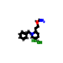 Cl.Cl.NOCCC1CCCCN1Cc1ccccc1